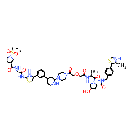 CC1NCSC1c1ccc(CNC(=O)[C@@H]2C[C@@H](O)CN2C(=O)[C@@H](NC(=O)COCC(=O)N2CCN(C3CC(c4cccc(C5CSC(NC(=O)CNC(=O)C6CCN(S(C)(=O)=O)C6)N5)c4)CCN3)CC2)C(C)(C)C)cc1